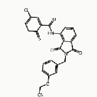 N#CCOc1cccc(CN2C(=O)c3cccc(NC(=O)C4=CC(Cl)=CCC4=S)c3C2=O)c1